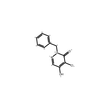 O=c1c(Cl)c(O)cnn1Cc1ccccc1